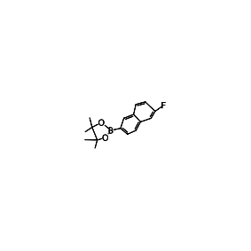 CC1(C)OB(c2ccc3cc(F)ccc3c2)OC1(C)C